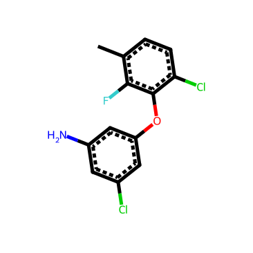 Cc1ccc(Cl)c(Oc2cc(N)cc(Cl)c2)c1F